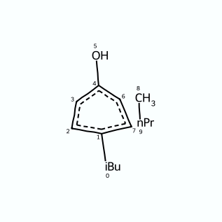 CCC(C)c1ccc(O)cc1.CCCC